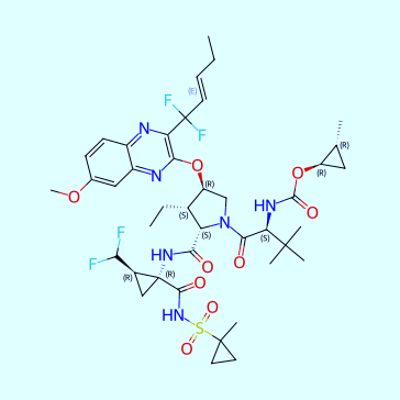 CC/C=C/C(F)(F)c1nc2ccc(OC)cc2nc1O[C@H]1CN(C(=O)[C@@H](NC(=O)O[C@@H]2C[C@H]2C)C(C)(C)C)[C@H](C(=O)N[C@]2(C(=O)NS(=O)(=O)C3(C)CC3)C[C@H]2C(F)F)[C@@H]1CC